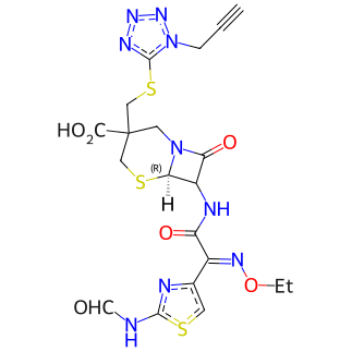 C#CCn1nnnc1SCC1(C(=O)O)CS[C@@H]2C(NC(=O)C(=NOCC)c3csc(NC=O)n3)C(=O)N2C1